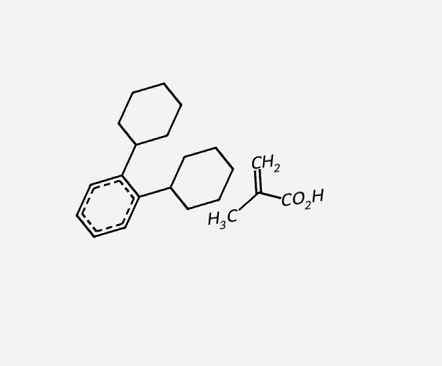 C=C(C)C(=O)O.c1ccc(C2CCCCC2)c(C2CCCCC2)c1